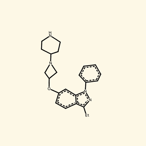 CCc1nn(-c2ccccc2)c2cc(OC3CN(C4CCNCC4)C3)ccc12